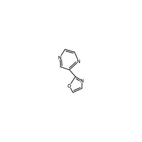 [c]1nccnc1-c1ncco1